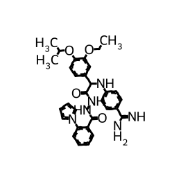 CCOc1cc(C(Nc2ccc(C(=N)N)cc2)C(=O)NNC(=O)c2ccccc2-n2cccc2)ccc1OC(C)C